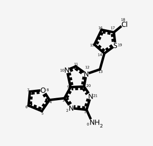 Nc1nc(-c2ccco2)c2ncn(Cc3ccc(Cl)s3)c2n1